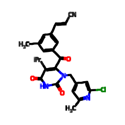 Cc1cc(/C=C/C#N)cc(C(=O)c2c(C(C)C)c(=O)[nH]c(=O)n2Cc2cc(C)nc(Cl)c2)c1